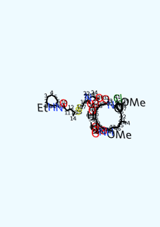 CCC1CCCCCC(NC(=O)CCC(C)SSCCC(=O)N(C)[C@@H](C)C(=O)O[C@H]2CC(=O)N(C)c3cc(cc(OC)c3Cl)C/C(C)=C/C=C/[C@@H](OC)[C@@]3(O)C[C@H](OC(=O)N3)[C@@H](C)[C@@H]3O[C@@]23C)C1